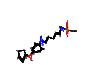 CC(C)(C)S(=O)(=O)NCCCCCNc1ccc(OC2CCCC2)cc1